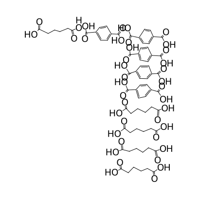 O=C(O)CCCCC(=O)O.O=C(O)CCCCC(=O)O.O=C(O)CCCCC(=O)O.O=C(O)CCCCC(=O)O.O=C(O)CCCCC(=O)O.O=C(O)c1ccc(C(=O)O)cc1.O=C(O)c1ccc(C(=O)O)cc1.O=C(O)c1ccc(C(=O)O)cc1.O=C(O)c1ccc(C(=O)O)cc1.O=C(O)c1ccc(C(=O)O)cc1